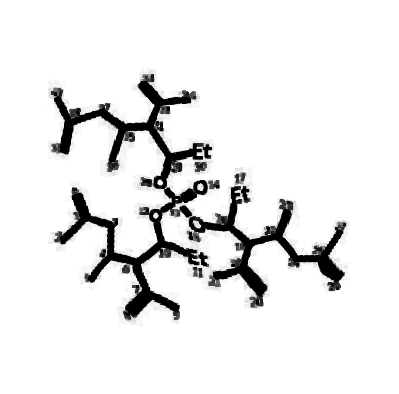 C=C(C)CC(C)C(C(=C)C)C(CC)OP(=O)(OC(CC)C(C(=C)C)C(C)CC(=C)C)OC(CC)C(C(=C)C)C(C)CC(=C)C